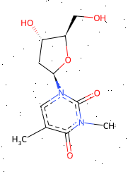 [CH]n1c(=O)c(C)cn([C@H]2C[C@H](O)[C@@H](CO)O2)c1=O